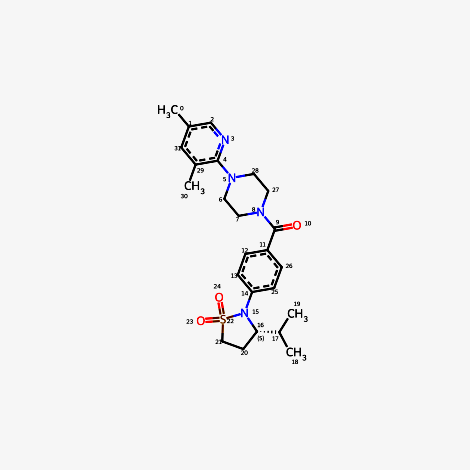 Cc1cnc(N2CCN(C(=O)c3ccc(N4[C@H](C(C)C)CCS4(=O)=O)cc3)CC2)c(C)c1